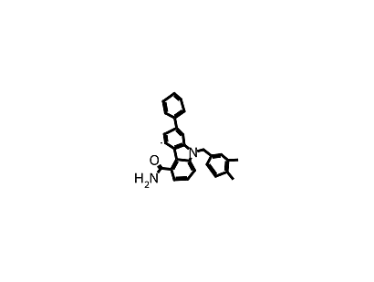 Cc1ccc(Cn2c3cc(-c4ccccc4)c[c]c3c3c(C(N)=O)cccc32)cc1C